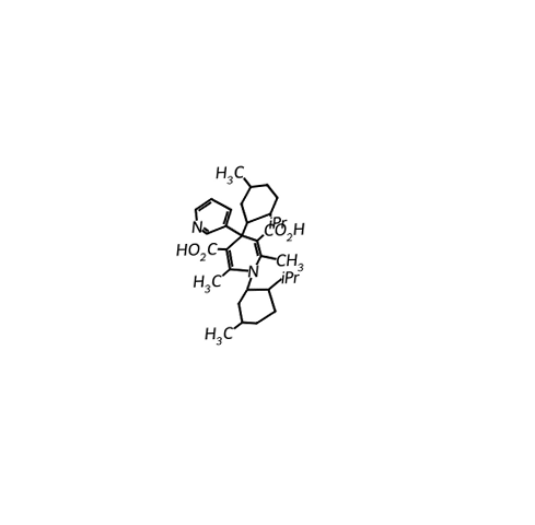 CC1=C(C(=O)O)C(c2cccnc2)(C2CC(C)CCC2C(C)C)C(C(=O)O)=C(C)N1C1CC(C)CCC1C(C)C